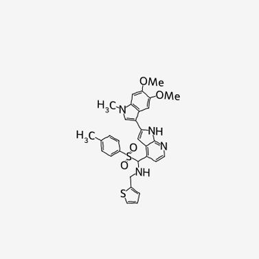 COc1cc2c(-c3cc4c(C(NCc5cccs5)S(=O)(=O)c5ccc(C)cc5)ccnc4[nH]3)cn(C)c2cc1OC